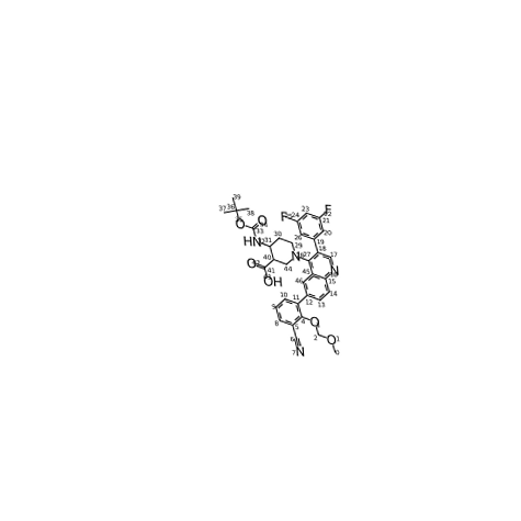 COCOc1c(C#N)cccc1-c1ccc2ncc(-c3cc(F)cc(F)c3)c(N3CCC(NC(=O)OC(C)(C)C)C(C(=O)O)C3)c2c1